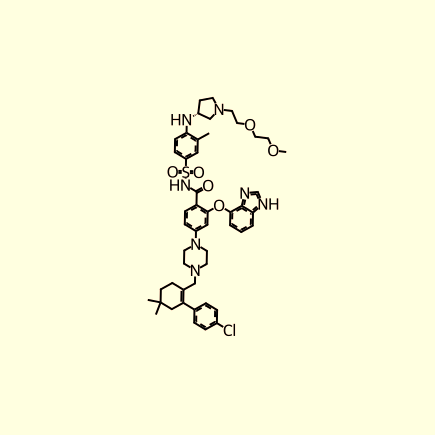 COCCOCCN1CC[C@@H](Nc2ccc(S(=O)(=O)NC(=O)c3ccc(N4CCN(CC5=C(c6ccc(Cl)cc6)CC(C)(C)CC5)CC4)cc3Oc3cccc4[nH]cnc34)cc2C)C1